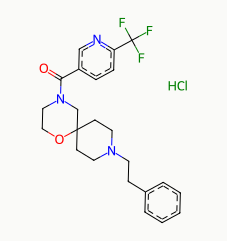 Cl.O=C(c1ccc(C(F)(F)F)nc1)N1CCOC2(CCN(CCc3ccccc3)CC2)C1